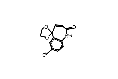 O=C1C=CC2(OCCO2)c2cc(Cl)ccc2N1